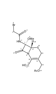 CO[C@@]1(NC(=O)CBr)C(=O)N2C(C(=O)O)=C(COC(C)=O)CS[C@H]21